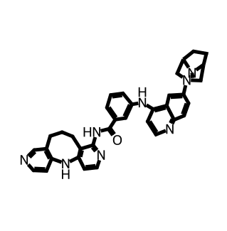 CN1C2CCC1CN(c1ccc3nccc(Nc4cccc(C(=O)Nc5nccc6c5CCCc5cnccc5N6)c4)c3c1)C2